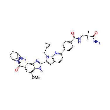 COc1cc(C(=O)N2CC3CCC2[C@@H]3N)cc2nc(-c3cc4ccc(-c5ccc(C(=O)NCC(C)(C)C(N)=O)cc5)nc4n3CC3CC3)n(C)c12